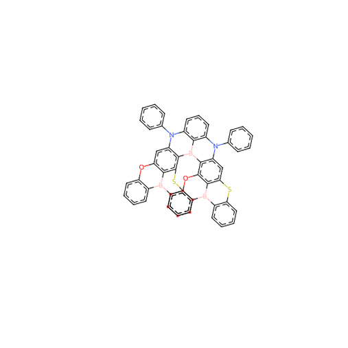 c1ccc(N2c3cccc4c3B(c3c2cc2c5c3Oc3ccccc3B5c3ccccc3S2)c2c(cc3c5c2Sc2ccccc2B5c2ccccc2O3)N4c2ccccc2)cc1